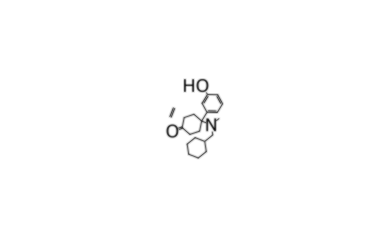 C=C.CN(CC1CCCCC1)C1(c2cccc(O)c2)CCC(=O)CC1